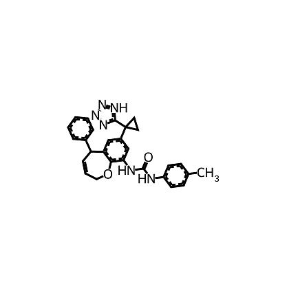 Cc1ccc(NC(=O)Nc2cc(C3(c4nnn[nH]4)CC3)cc3c2OCC=CC3c2ccccc2)cc1